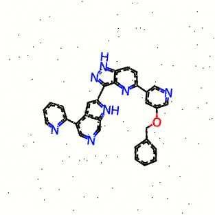 c1ccc(COc2cncc(-c3ccc4[nH]nc(-c5cc6c(-c7ccccn7)cncc6[nH]5)c4n3)c2)cc1